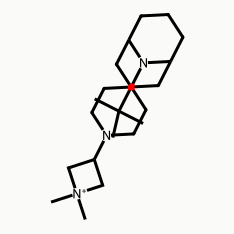 CC(C)(C)C1CC2CCCC(C1)N2C1CCN(C2C[N+](C)(C)C2)CC1